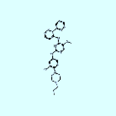 CCCN1CCN(c2ccc(Nc3ncc(OC)c(Nc4cccnc4-c4ccccn4)n3)cc2Cl)CC1